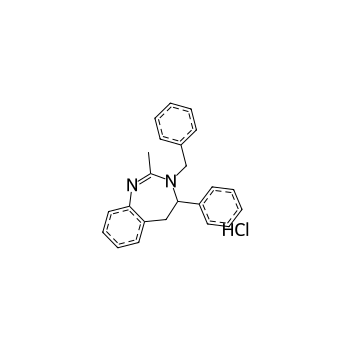 CC1=Nc2ccccc2CC(c2ccccc2)N1Cc1ccccc1.Cl